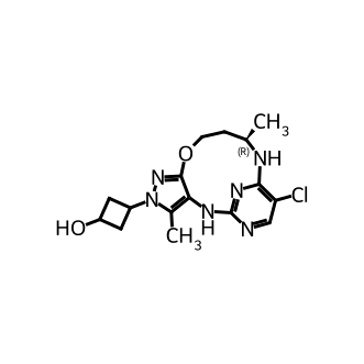 Cc1c2c(nn1C1CC(O)C1)OCC[C@@H](C)Nc1nc(ncc1Cl)N2